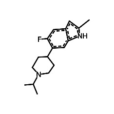 Cc1cc2cc(F)c(C3CCN(C(C)C)CC3)cc2[nH]1